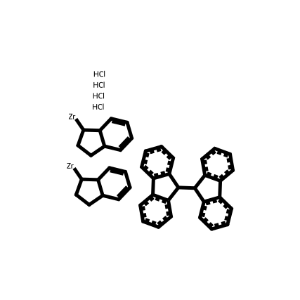 Cl.Cl.Cl.Cl.[Zr][CH]1CCC2C=CC=CC12.[Zr][CH]1CCC2C=CC=CC12.c1ccc2c(c1)-c1ccccc1C2C1c2ccccc2-c2ccccc21